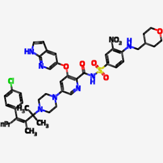 CCCC(=C(C)C(C)(C)N1CCN(c2cnc(C(=O)NS(=O)(=O)c3ccc(NCC4CCOCC4)c([N+](=O)[O-])c3)c(Oc3cnc4[nH]ccc4c3)c2)CC1)c1ccc(Cl)cc1